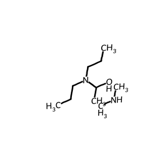 CCCN(CCC)C(C)O.CNC